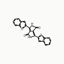 O=C1NC(c2cc3ccccc3s2)=C2C(=O)NC(c3cc4ccccc4s3)=C12